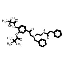 CC(C)(C)C(=O)Oc1ccc(C(=O)CN(CCNC(=O)Cc2ccccc2)Cc2ccccc2)cc1OC(=O)C(C)(C)C